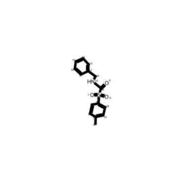 Cc1ccc(S(=O)(=O)C(=O)NCc2ccccc2)cc1